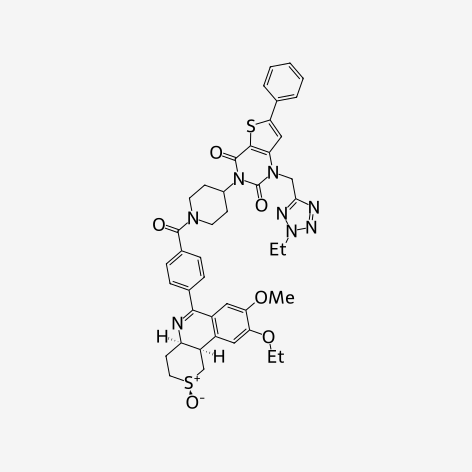 CCOc1cc2c(cc1OC)C(c1ccc(C(=O)N3CCC(n4c(=O)c5sc(-c6ccccc6)cc5n(Cc5nnn(CC)n5)c4=O)CC3)cc1)=N[C@@H]1CC[S@+]([O-])C[C@H]21